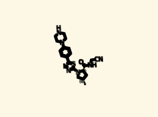 C[C@H]1C[C@@H](C(=O)NCC#N)N(c2nnc(-c3ccc(N4CCNCC4)cc3)s2)C1